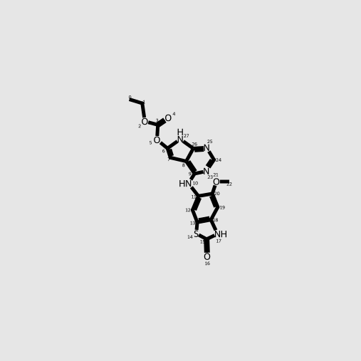 CCOC(=O)Oc1cc2c(Nc3cc4sc(=O)[nH]c4cc3OC)ncnc2[nH]1